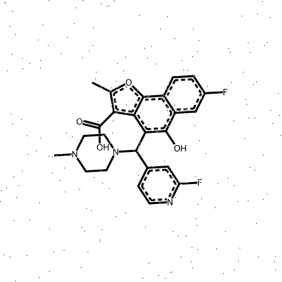 Cc1oc2c(c1C(=O)O)c(C(c1ccnc(F)c1)N1CCN(C)CC1)c(O)c1cc(F)ccc12